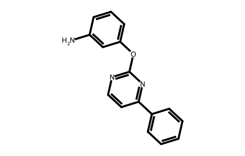 Nc1cccc(Oc2nccc(-c3ccccc3)n2)c1